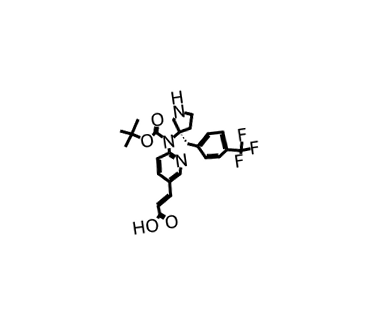 CC(C)(C)OC(=O)N(c1ccc(/C=C/C(=O)O)cn1)[C@]1(Cc2ccc(C(F)(F)F)cc2)CCNC1